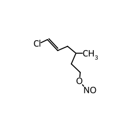 CC(C/C=C/Cl)CCON=O